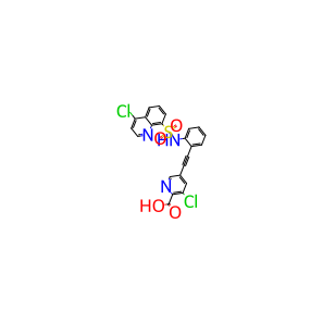 O=C(O)c1ncc(C#Cc2ccccc2NS(=O)(=O)c2cccc3c(Cl)ccnc23)cc1Cl